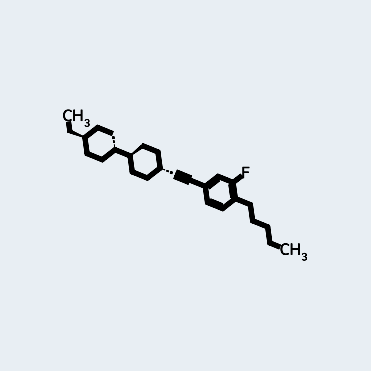 CCCCCc1ccc(C#C[C@H]2CC[C@H]([C@H]3CC[C@H](CC)CC3)CC2)cc1F